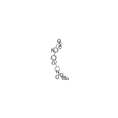 CC(C)(C)OC(=O)N1CCC(C2Cc3cc(-c4ccc(CS(C)(=O)=O)cn4)ccc3O2)CC1